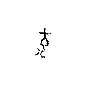 CC(C)(C#N)c1ccc(O[Si](C)(C)C(C)(C)C)cc1